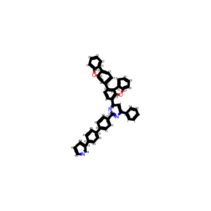 c1ccc(-c2cc(-c3ccc(-c4ccc5c(c4)oc4ccccc45)c4c3oc3ccccc34)nc(-c3ccc(-c4ccc(-c5cccnc5)cc4)cc3)n2)cc1